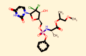 COCC(C)OC(=O)[C@H](C)NP(=O)(OC[C@H]1O[C@@H](n2ccc(=O)[nH]c2=O)[C@](Cl)(Br)[C@@H]1O)Oc1ccccc1